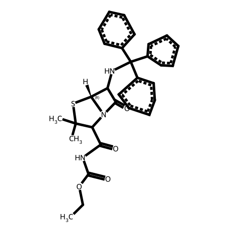 CCOC(=O)NC(=O)C1N2C(=O)C(NC(c3ccccc3)(c3ccccc3)c3ccccc3)[C@H]2SC1(C)C